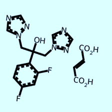 O=C(O)C=CC(=O)O.OC(Cn1cncn1)(Cn1cncn1)c1ccc(F)cc1F